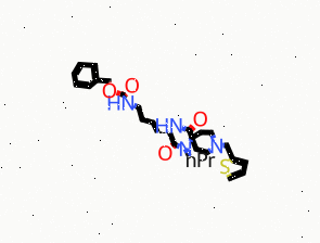 CCCN1C(=O)[C@H](CCCCNC(=O)OCc2ccccc2)NC(=O)C12CCN(Cc1cccs1)CC2